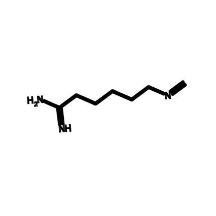 C=NCCCCCC(=N)N